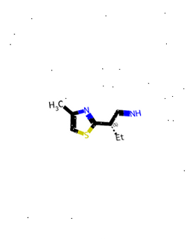 CC[C@@H](C=N)c1nc(C)cs1